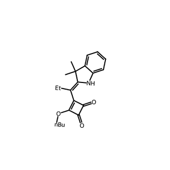 CCCCOc1c(C(CC)=C2Nc3ccccc3C2(C)C)c(=O)c1=O